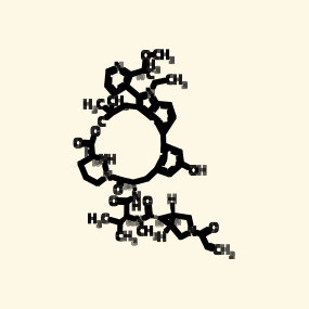 C=CC(=O)N1C[C@@H]2[C@H](C1)[C@@H]2C(=O)N(C)[C@H](C(=O)N[C@H]1Cc2cc(O)cc(c2)-c2ccc3c(c2)c(c(-c2cccnc2[C@H](C)OC)n3CC)CC(C)(C)COC(=O)[C@@H]2CCCN(N2)C1=O)C(C)C